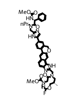 CCCN(Cc1ncc(-c2ccc3c(c2)COc2cc4c(ccc5nc(CN(C[C@H](C)COC(F)F)C(=O)CNC(=O)OC)[nH]c54)cc2-3)[nH]1)C(=O)[C@H](NC(=O)OC)c1ccccc1